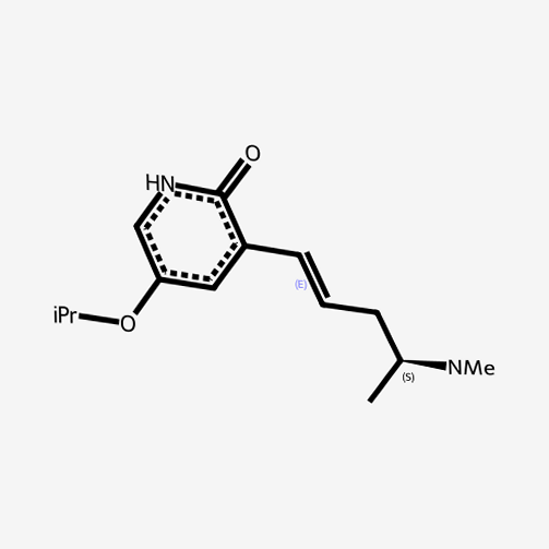 CN[C@@H](C)C/C=C/c1cc(OC(C)C)c[nH]c1=O